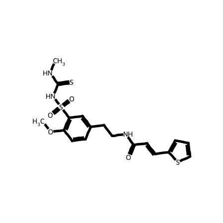 CNC(=S)NS(=O)(=O)c1cc(CCNC(=O)C=Cc2cccs2)ccc1OC